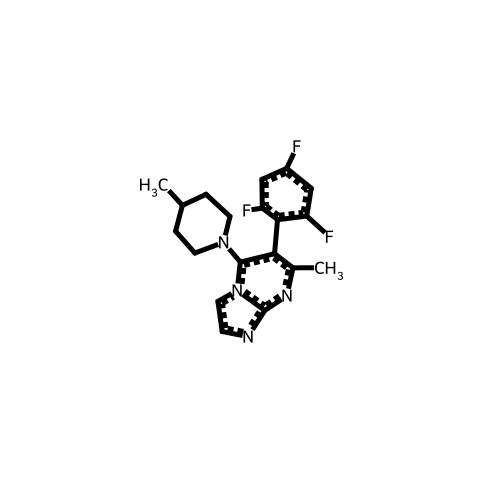 Cc1nc2nccn2c(N2CCC(C)CC2)c1-c1c(F)cc(F)cc1F